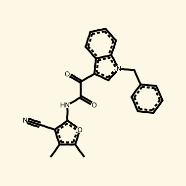 Cc1oc(NC(=O)C(=O)c2cn(Cc3ccccc3)c3ccccc23)c(C#N)c1C